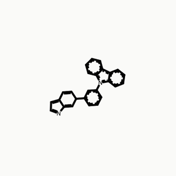 C1=CC(c2cccc(-n3c4ccccc4c4ccccc43)c2)C=C2N=CC=C12